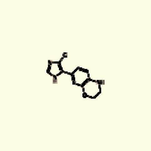 Clc1nc[nH]c1-c1ccc2c(c1)OCCN2